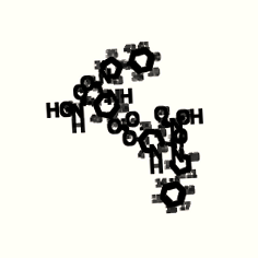 O=C(O[C@@H]1CN[C@H](C(=O)N2CC[C@H](c3ccccc3)C2)[C@@H](C(=O)NO)C1)O[C@@H]1CN[C@H](C(=O)N2CC[C@H](c3ccccc3)C2)[C@@H](C(=O)NO)C1